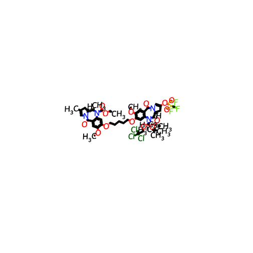 CCOC(=O)N1c2cc(OCCCCCOc3cc4c(cc3OC)C(=O)N3C=C(OS(=O)(=O)C(F)(F)F)C[C@H]3[C@H](O[Si](C)(C)C(C)(C)C)N4C(=O)OCC(Cl)(Cl)Cl)c(OC)cc2C(=O)N2C=C(C)C[C@H]2[C@@H]1C